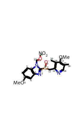 COc1ccc2c(c1)nc([S+]([O-])Cc1ncc(C)c(OC)c1C)n2CO[N+](=O)[O-]